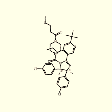 CCOc1cc(C(C)(C)C)ncc1C1=N[C@@](C)(c2ccc(Cl)cc2)[C@@](C)(c2ccc(Cl)cc2)N1C(=O)N1CCN(C(=O)CCSC)CC1